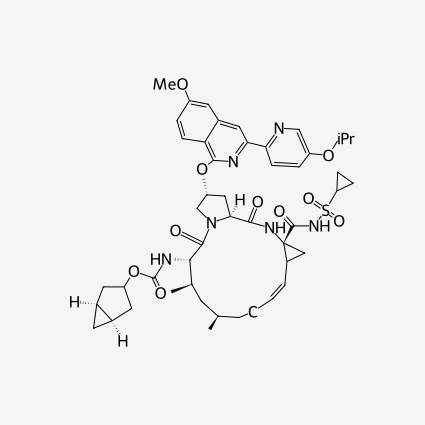 COc1ccc2c(O[C@@H]3C[C@H]4C(=O)N[C@]5(C(=O)NS(=O)(=O)C6CC6)CC5/C=C\CC[C@@H](C)C[C@@H](C)[C@H](NC(=O)OC5C[C@@H]6C[C@@H]6C5)C(=O)N4C3)nc(-c3ccc(OC(C)C)cn3)cc2c1